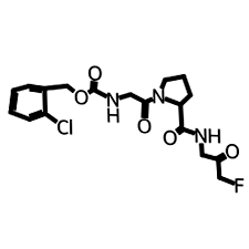 O=C(CF)CNC(=O)C1CCCN1C(=O)CNC(=O)OCc1ccccc1Cl